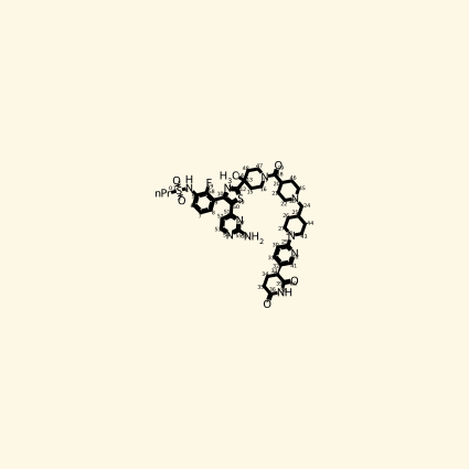 CCCS(=O)(=O)Nc1cccc(-c2nc(C3(C)CCN(C(=O)C4CCN(CC5CCN(c6ccc([C@@H]7CCC(=O)NC7=O)cn6)CC5)CC4)CC3)sc2-c2ccnc(N)n2)c1F